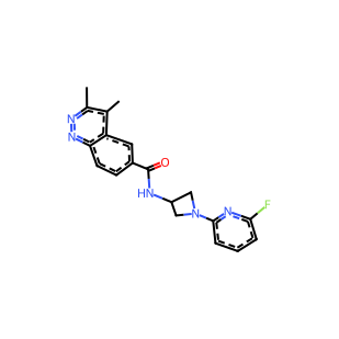 Cc1nnc2ccc(C(=O)NC3CN(c4cccc(F)n4)C3)cc2c1C